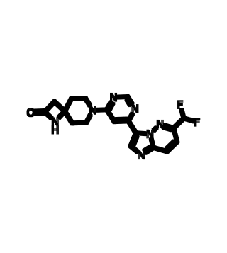 O=C1CC2(CCN(c3cc(-c4cnc5ccc(C(F)F)nn45)ncn3)CC2)N1